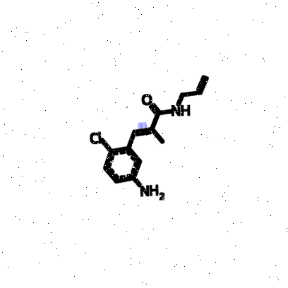 C=CCNC(=O)/C(C)=C/c1cc(N)ccc1Cl